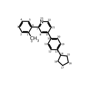 Cc1ccccc1-c1cc(-c2ccc(C3CCCC3)cc2)ccn1